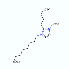 CCCCCCCCCCCCCCCCCn1cc[n+](CCCCCCCCC)c1CCCCCCCCCCCCC